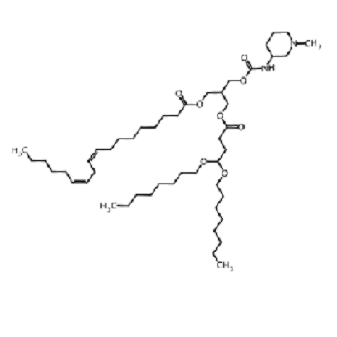 CCCCC/C=C\C/C=C\CCCCCCCC(=O)OCC(COC(=O)CCC(OCCCCCCCC)OCCCCCCCC)COC(=O)NC1CCCN(C)C1